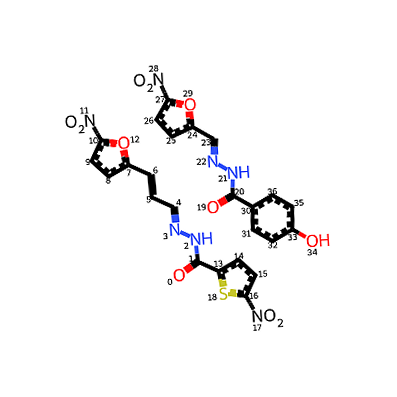 O=C(N/N=C/C=C/c1ccc([N+](=O)[O-])o1)c1ccc([N+](=O)[O-])s1.O=C(N/N=C/c1ccc([N+](=O)[O-])o1)c1ccc(O)cc1